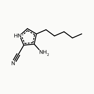 CCCCCc1c[nH]c(C#N)c1N